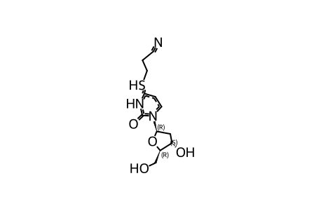 N#CCC[SH]=c1ccn([C@H]2C[C@H](O)[C@@H](CO)O2)c(=O)[nH]1